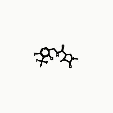 CN1CC(C(=O)NCc2ccc(F)c(C(F)(F)F)c2Cl)N(C)C1=O